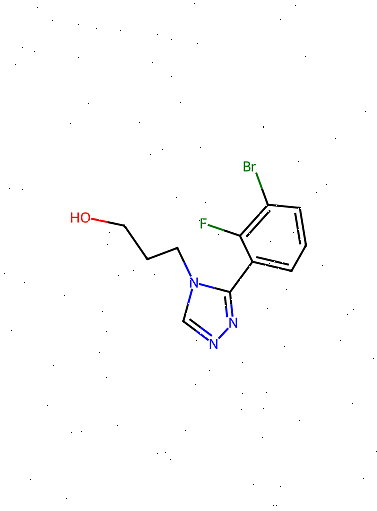 OCCCn1cnnc1-c1cccc(Br)c1F